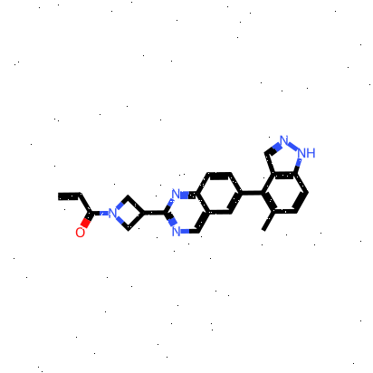 C=CC(=O)N1CC(c2ncc3cc(-c4c(C)ccc5[nH]ncc45)ccc3n2)C1